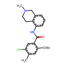 COc1cc(C)c(Cl)cc1C(=O)Nc1cccc2c1CCN(C)C2